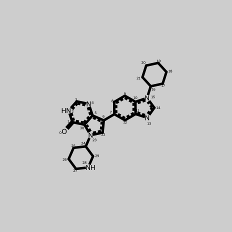 O=c1[nH]cnc2c(-c3ccc4c(c3)ncn4C3CCCCC3)cn(C3CCCNC3)c12